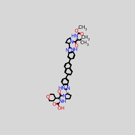 COC(=O)N[C@H](C(=O)N1CCCC1c1nc2cc(-c3ccc4cc(-c5ccc6[nH]c([C@@H]7CCCN7C(=O)[C@@H](NC(=O)O)C7CCOCC7)nc6c5)ccc4c3)ccc2[nH]1)C(C)C